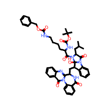 CC(C)CC1C(=O)N2c3ccccc3C(CC3NC(=O)c4ccccc4-n4c3nc3ccccc3c4=O)C2(O)N1C(=O)C(CCCCNC(=O)OCc1ccccc1)NC(=O)OC(C)(C)C